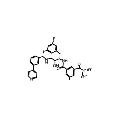 CCCN(CCC)C(=O)c1cc(C)cc(C(=O)N[C@@H](Cc2cc(F)cc(F)c2)[C@H](O)CNCc2cccc(-c3ccncc3)c2)c1